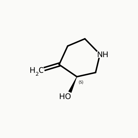 C=C1CCNC[C@H]1O